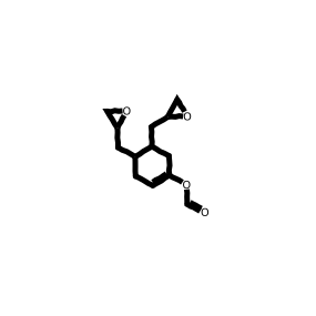 O=COC1=CCC(CC2CO2)C(CC2CO2)C1